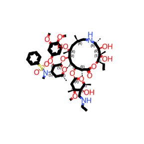 CCNC[C@]1(O)[C@H](C)O[C@@H](O[C@H]2[C@H](C)[C@@H](O[C@@H]3O[C@H](C)C[C@H](N(C)S(=O)(=O)c4ccccc4)[C@H]3Oc3ccc(OC)c(OC)c3)[C@](C)(O)C[C@@H](C)CN[C@H](C)[C@@H](O)[C@](C)(O)[C@@H](CC)OC(=O)[C@@H]2C)C[C@@]1(C)OC